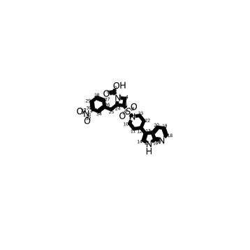 O=C(O)N1CC(S(=O)(=O)N2CCC(c3c[nH]c4ncccc34)CC2)C1Cc1cccc([N+](=O)[O-])c1